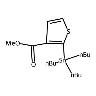 CCC[CH2][Sn]([CH2]CCC)([CH2]CCC)[c]1sccc1C(=O)OC